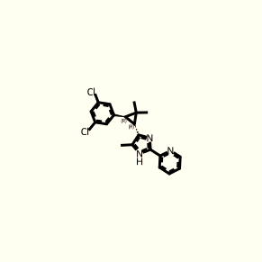 Cc1[nH]c(-c2ccccn2)nc1[C@@H]1[C@@H](c2cc(Cl)cc(Cl)c2)C1(C)C